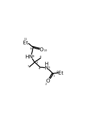 CCC(=O)NCC(C)(C)NC(=O)CC